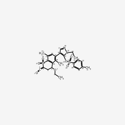 CCOC1CC(=C=O)S(=O)(=O)c2c(C)cc(-c3cnn(CC)c3OS(=O)(=O)c3ccc(C)cc3)c(C)c21